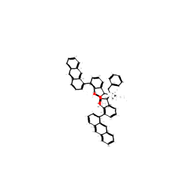 CC1=Cc2c(-c3cccc4cc5ccccc5cc34)cccc2[CH]1[Zr](=[SiH2])([Cl])([Cl])([CH2]c1ccccc1)[CH]1C(C)=Cc2c(-c3cccc4cc5ccccc5cc34)cccc21